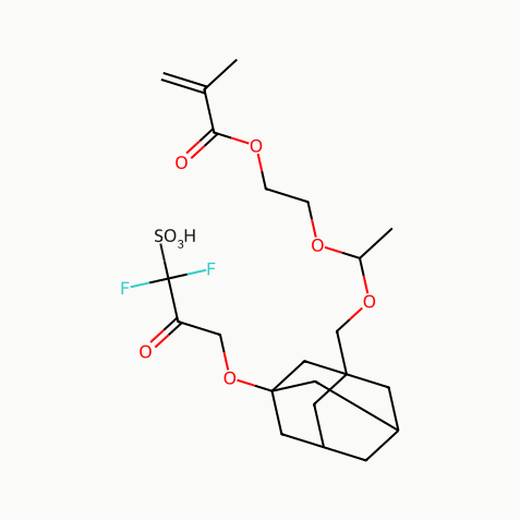 C=C(C)C(=O)OCCOC(C)OCC12CC3CC(C1)CC(OCC(=O)C(F)(F)S(=O)(=O)O)(C3)C2